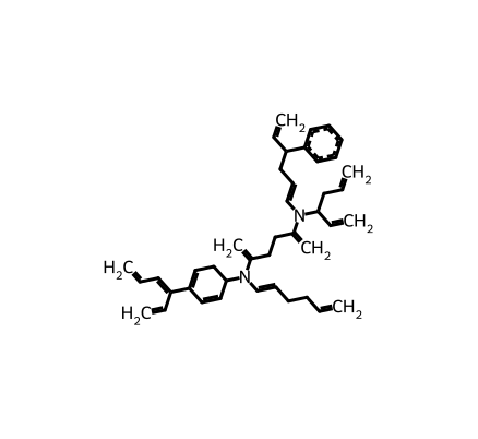 C=C/C=C(\C=C)C1=CCC(N(/C=C/CCC=C)C(=C)CCC(=C)N(/C=C/CC(C=C)c2ccccc2)C(C=C)CC=C)C=C1